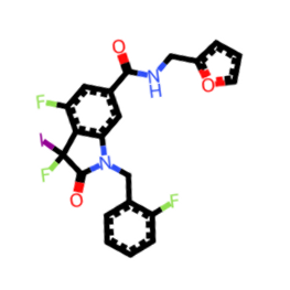 O=C(NCc1ccco1)c1cc(F)c2c(c1)N(Cc1ccccc1F)C(=O)C2(F)I